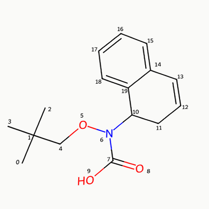 CC(C)(C)CON(C(=O)O)C1CC=Cc2ccccc21